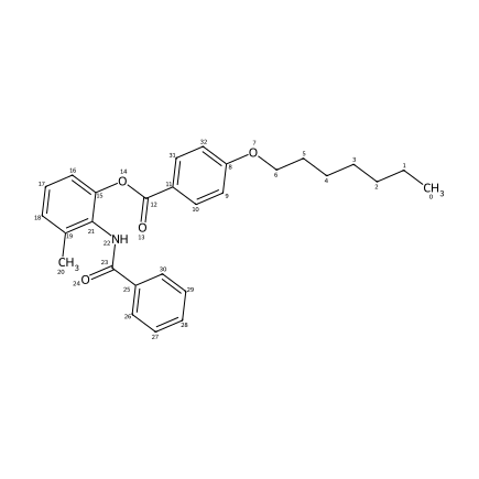 CCCCCCCOc1ccc(C(=O)Oc2cccc(C)c2NC(=O)c2ccccc2)cc1